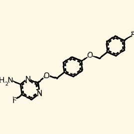 Nc1nc(OCc2ccc(OCc3ccc(F)cc3)cc2)ncc1F